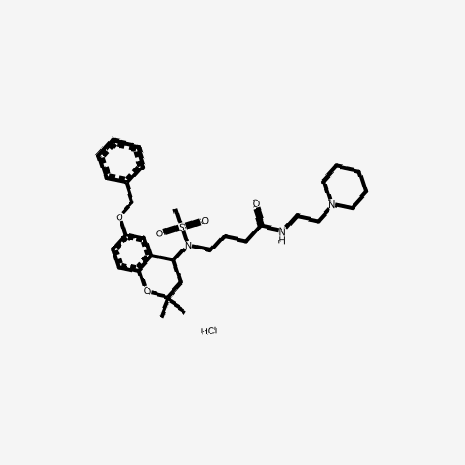 CC1(C)CC(N(CCCC(=O)NCCN2CCCCC2)S(C)(=O)=O)c2cc(OCc3ccccc3)ccc2O1.Cl